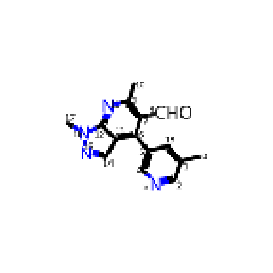 Cc1cncc(-c2c(C=O)c(C)nc3c2cnn3C)c1